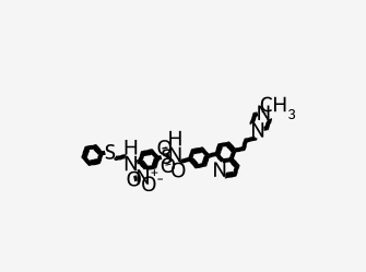 CN1CCN(CCCc2ccc(-c3ccc(C(=O)NS(=O)(=O)c4ccc(NCCSc5ccccc5)c([N+](=O)[O-])c4)cc3)c3ncccc23)CC1